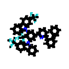 FC(F)(F)c1ccc2c3ccccc3n(-c3cc(-c4cccc(-c5ccccc5-c5ccccc5)n4)cc(-n4c5ccccc5c5ccc(C(F)(F)F)cc54)c3C(F)(F)F)c2c1